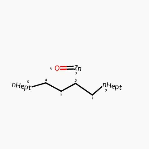 [CH2]CCCCCCCCCCCCCCCCC.[O]=[Zn]